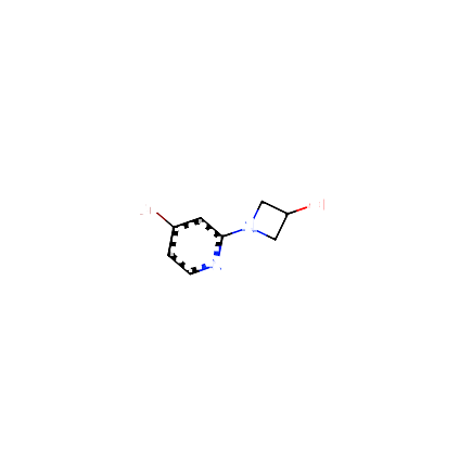 OC1CN(c2cc(Br)ccn2)C1